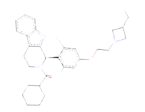 C[C@@H]1Cc2c([nH]c3ccccc23)[C@@H](c2c(F)cc(OCCN3CC(CF)C3)cc2F)N1C(=O)C1CCCCC1